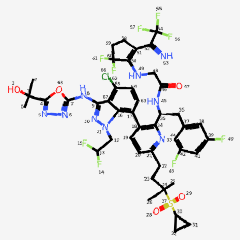 CC(C)(O)c1nnc(Nc2nn(CC(F)F)c3c(-c4ccc(CCC(C)(C)S(=O)(=O)C5CC5)nc4[C@H](Cc4cc(F)cc(F)c4)NC(=O)CNC4=C(C(=N)C(F)(F)F)CCC4(F)F)ccc(Cl)c23)o1